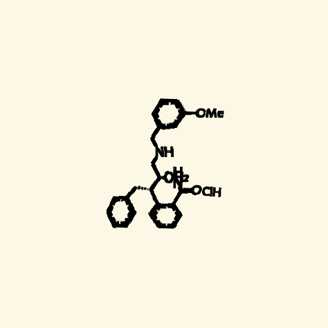 COc1cccc(CNC[C@H](O)[C@@H](Cc2ccccc2)c2ccccc2C(N)=O)c1.Cl